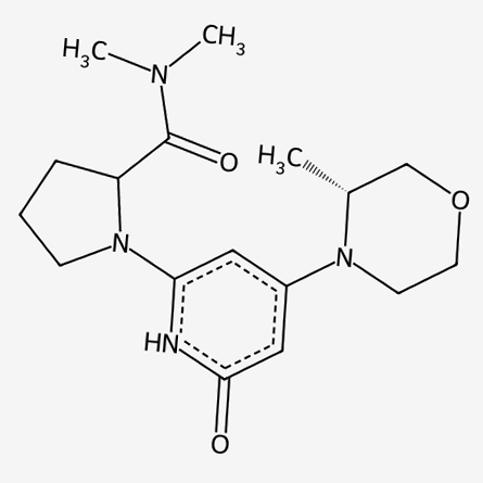 C[C@@H]1COCCN1c1cc(N2CCCC2C(=O)N(C)C)[nH]c(=O)c1